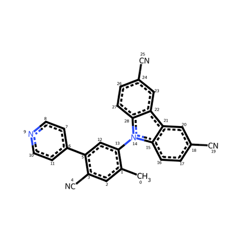 Cc1cc(C#N)c(-c2ccncc2)cc1-n1c2ccc(C#N)cc2c2cc(C#N)ccc21